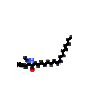 CCCCCCCC/C=C\CCCCCCCC(=O)C([CH2][Na])NC